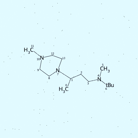 CC(CCN(C)C(C)(C)C)N1CCN(C)CC1